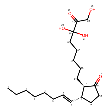 CCCCCCC=C[C@H]1CCC(=O)[C@@H]1CCCCCC(O)(O)C(=O)CO